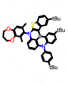 Cc1cc2c(c(C)c1N1c3cccc4c3B(c3cc(C(C)(C)C)ccc3N4c3ccc(C(C)(C)C)cc3)c3c1sc1ccc(C(C)(C)C)cc31)OCCCO2